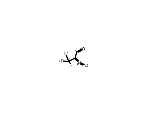 [N-]=[N+]=C(C=O)C(F)(F)F